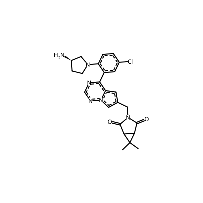 CC1(C)C2C(=O)N(Cc3cc4c(-c5cc(Cl)ccc5N5CC[C@@H](N)C5)ncnn4c3)C(=O)C21